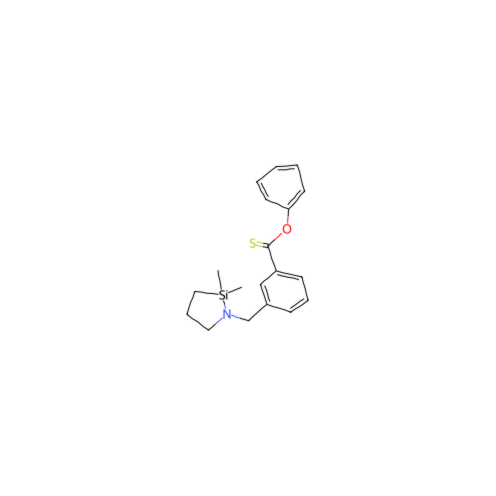 C[Si]1(C)CCCN1Cc1cccc(C(=S)Oc2ccccc2)c1